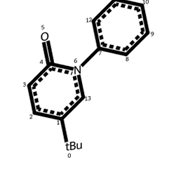 CC(C)(C)c1ccc(=O)n(-c2ccccc2)c1